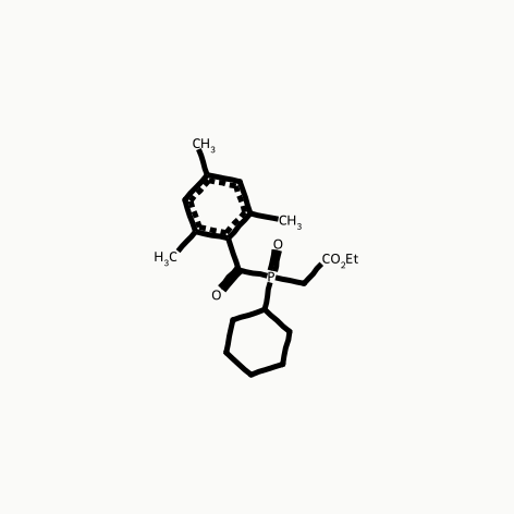 CCOC(=O)CP(=O)(C(=O)c1c(C)cc(C)cc1C)C1CCCCC1